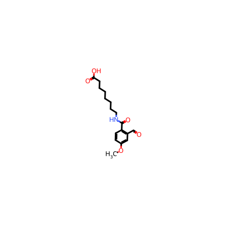 COc1ccc(C(=O)NCCCCCCCC(=O)O)c(C=O)c1